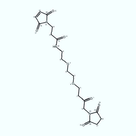 O=C(CCOCCOCCNC(=O)CCN1C(=O)C=CC1=O)CN1C(=O)CCC1=O